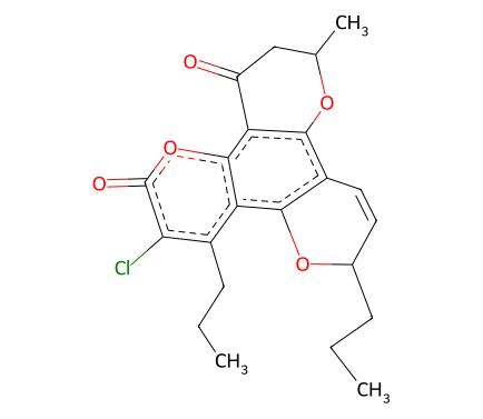 CCCc1c(Cl)c(=O)oc2c3c(c4c(c12)OC(CCC)C=C4)OC(C)CC3=O